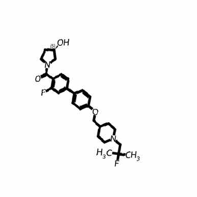 CC(C)(F)CN1CCC(COc2ccc(-c3ccc(C(=O)N4CC[C@H](O)C4)c(F)c3)cc2)CC1